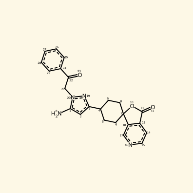 Nc1cc(C2CCC3(CC2)OC(=O)c2ccncc23)nn1CC(=O)c1ccccc1